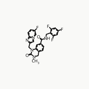 CN1Cc2ccc(C(=O)NCc3c(F)cc(F)cc3F)cc2N(Cc2cn3cc(F)ccc3n2)C1=O